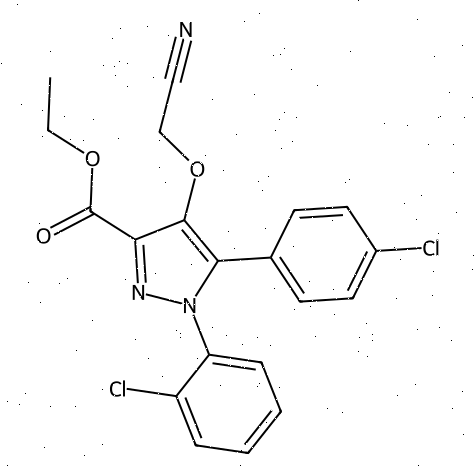 CCOC(=O)c1nn(-c2ccccc2Cl)c(-c2ccc(Cl)cc2)c1OCC#N